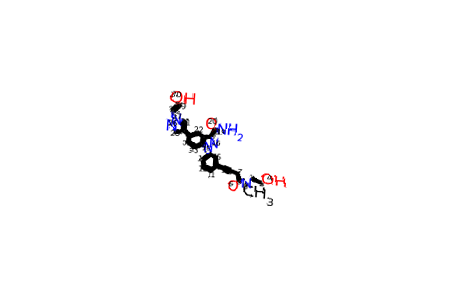 CN(CCO)C(=O)CC#Cc1cccc(-n2nc(C(N)=O)c3cc(-c4cnn(CCO)c4)ccc32)c1